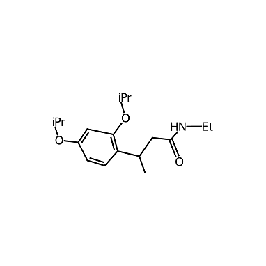 CCNC(=O)CC(C)c1ccc(OC(C)C)cc1OC(C)C